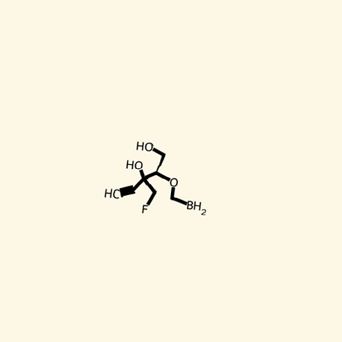 BCO[C@H](CO)C(O)(C#C)CF